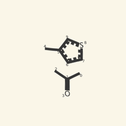 CC(C)=O.Cc1ccsc1